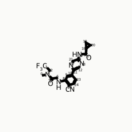 CN(CC(F)(F)F)C(=O)CNc1cc(-c2cnc(NC(=O)C3CC3)cn2)ccc1C#N